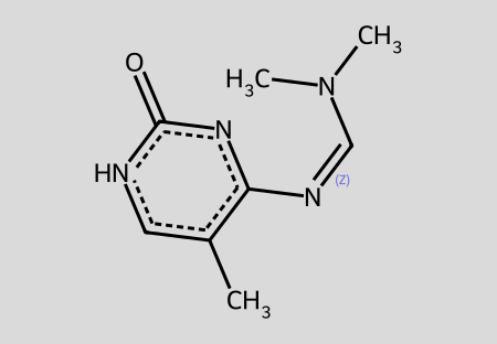 Cc1c[nH]c(=O)nc1/N=C\N(C)C